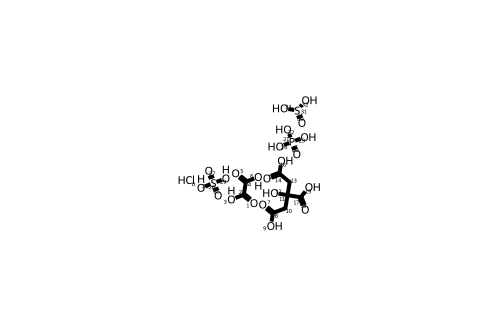 Cl.O=C(O)C(=O)O.O=C(O)CC(O)(CC(=O)O)C(=O)O.O=P(O)(O)O.O=S(=O)(O)O.O=S(O)O